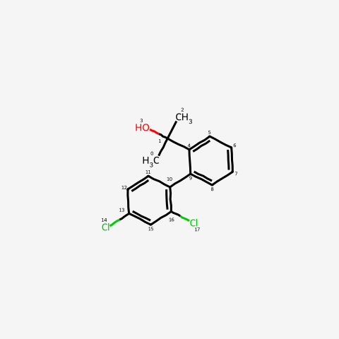 CC(C)(O)c1ccccc1-c1ccc(Cl)cc1Cl